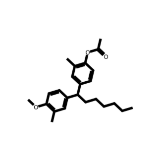 CCCCCCC(c1ccc(OC)c(C)c1)c1ccc(OC(C)=O)c(C)c1